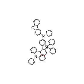 C1=CC(c2ccccc2N(c2ccccc2)c2ccccc2)C2C(=C1)[Si](c1ccccc1)(c1ccccc1)c1cc(N(c3ccccc3)c3ccc4oc5ccccc5c4c3)ccc12